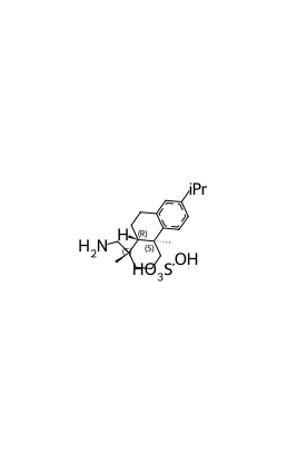 CC(C)c1ccc2c(c1)CC[C@H]1[C@@](C)(CN)CCC[C@]21C.O=S(=O)(O)O